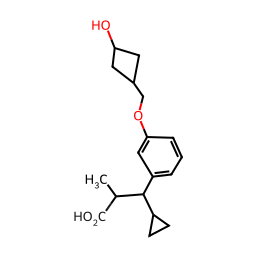 CC(C(=O)O)C(c1cccc(OCC2CC(O)C2)c1)C1CC1